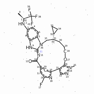 C[C@H](Nc1ccc2c(c1)N/C1=N\C(=O)c3cc(F)nc(c3)-c3cnn(C)c3OCCC[C@@H](C3CC3)CN12)C(F)(F)F